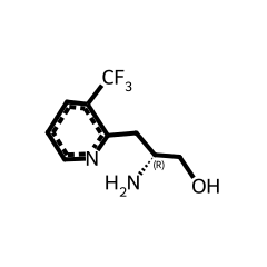 N[C@@H](CO)Cc1ncccc1C(F)(F)F